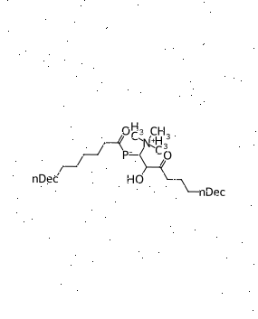 CCCCCCCCCCCCCCCC(=O)[P-]C(C(O)C(=O)CCCCCCCCCCCCC)[N+](C)(C)C